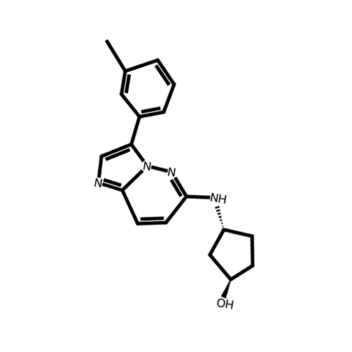 Cc1cccc(-c2cnc3ccc(N[C@@H]4CC[C@@H](O)C4)nn23)c1